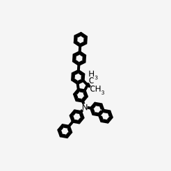 CC1(C)c2cc(-c3ccc(-c4ccccc4)cc3)ccc2-c2ccc(N(c3ccc(-c4ccccc4)cc3)c3ccc4ccccc4c3)cc21